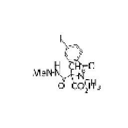 CNNC(=O)C(C)(C(=O)O)N(C)C(=O)c1ccc(I)cc1